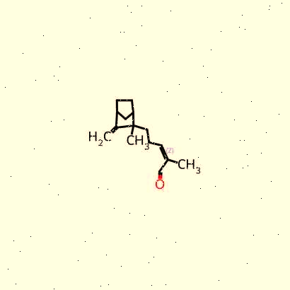 C=C1C2CCC(C2)C1(C)CC/C=C(/C)C=O